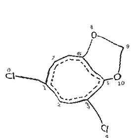 Clc1cc(Cl)c2c(c1)OCO2